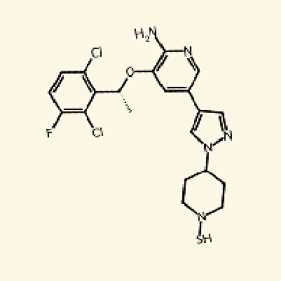 C[C@@H](Oc1cc(-c2cnn(C3CCN(S)CC3)c2)cnc1N)c1c(Cl)ccc(F)c1Cl